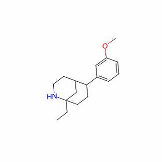 CCC12CCC(c3cccc(OC)c3)C(CCN1)C2